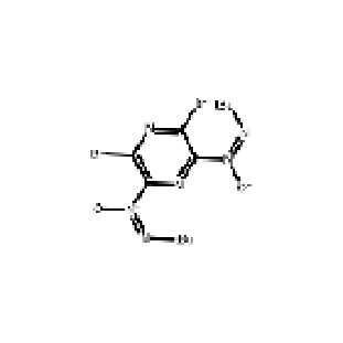 CC(C)(C)/N=[N+](/[O-])c1nc(/[N+]([O-])=N\C(C)(C)C)c(Br)nc1Br